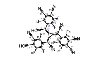 C#C/C(=C1\C(=C(C#N)c2c(F)c(F)c(C#C)c(C#N)c2F)\C1=C(\C#N)c1c(F)c(F)c(C#N)c(C#N)c1F)c1c(F)c(F)c(C#N)c(C#N)c1F